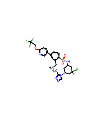 CCc1cc(-c2ccc(OCC(F)(F)F)nc2)ccc1S(=O)(=O)N[C@@H]1C[C@H](n2cnnc2C)CC(F)(F)C1